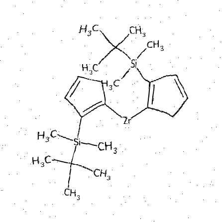 CC(C)(C)[Si](C)(C)C1=[C]([Zr][C]2=C([Si](C)(C)C(C)(C)C)C=CC2)CC=C1